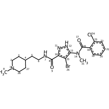 CN1CCC(CCNC(=O)c2n[nH]c(N(C)C(=O)c3ccccc3Cl)c2Br)CC1